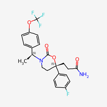 C[C@@H](c1ccc(OC(F)(F)F)cc1)N1CC[C@@](CCC(N)=O)(c2ccc(F)cc2)OC1=O